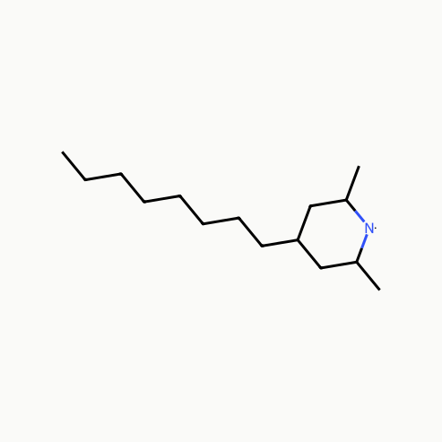 CCCCCCCCC1CC(C)[N]C(C)C1